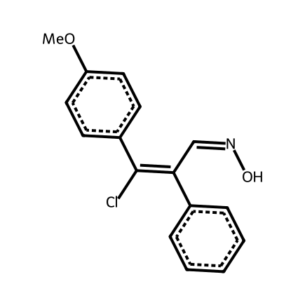 COc1ccc(/C(Cl)=C(\C=N/O)c2ccccc2)cc1